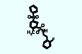 Cc1ccc(S(=O)(=O)c2ccccc2)cc1S(=O)(=O)NCCc1ccccc1F